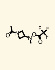 CC(=O)N1CC(N(C)OC(=O)C(F)(F)F)C1